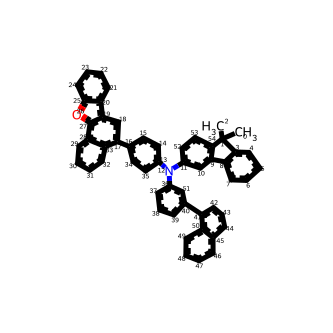 CC1(C)c2ccccc2-c2cc(N(c3ccc(-c4cc5c6ccccc6oc5c5ccccc45)cc3)c3cccc(-c4cccc5ccccc45)c3)ccc21